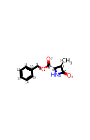 C[C@H]1C(=O)N[C@@H]1C(=O)OCc1ccccc1